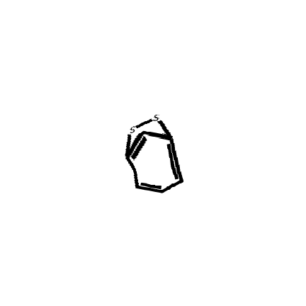 c1cc2cc(c1)SS2